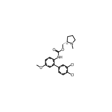 COc1ccc(NC(=O)OC[C@@H]2CCCN2C)c(-c2ccc(Cl)c(Cl)c2)c1